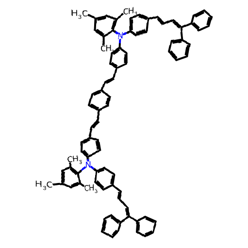 Cc1cc(C)c(N(c2ccc(C=CC=C(c3ccccc3)c3ccccc3)cc2)c2ccc(C=Cc3ccc(C=Cc4ccc(N(c5ccc(C=CC=C(c6ccccc6)c6ccccc6)cc5)c5c(C)cc(C)cc5C)cc4)cc3)cc2)c(C)c1